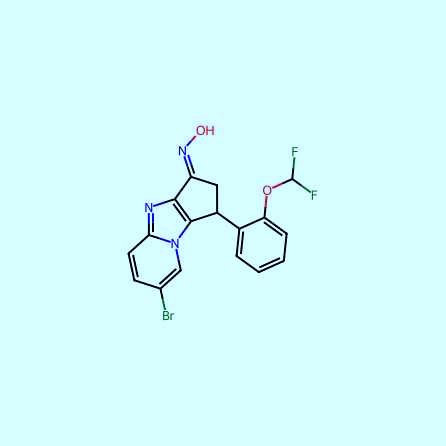 O/N=C1\CC(c2ccccc2OC(F)F)c2c1nc1ccc(Br)cn21